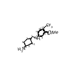 COc1cc(NCC2CCC(N)CC2)ccc1C(F)(F)F